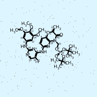 C=C1Oc2ccc(Nc3nc(Nc4cc(OC)c(OC)c(OC)c4)ncc3F)nc2N(COP(=O)(OC(C)(C)C)OC(C)(C)C)C1=O